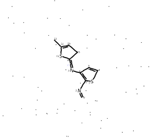 C=Nc1sccc1/N=C1\CC=C(C)S1